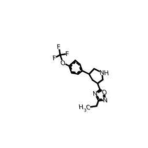 CCc1noc(C2CNCC(c3ccc(OC(F)(F)F)cc3)C2)n1